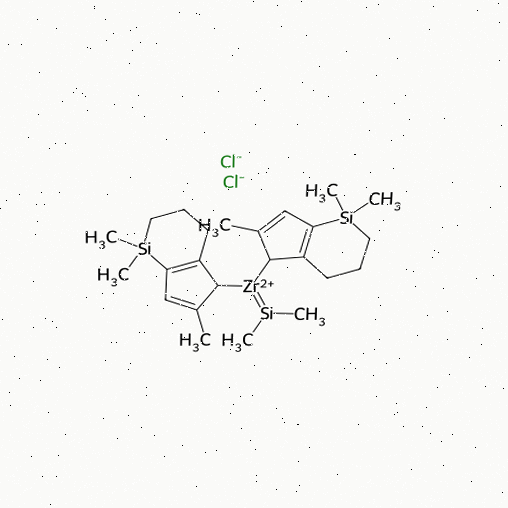 CC1=CC2=C(CCC[Si]2(C)C)[CH]1[Zr+2]([CH]1C(C)=CC2=C1CCC[Si]2(C)C)=[Si](C)C.[Cl-].[Cl-]